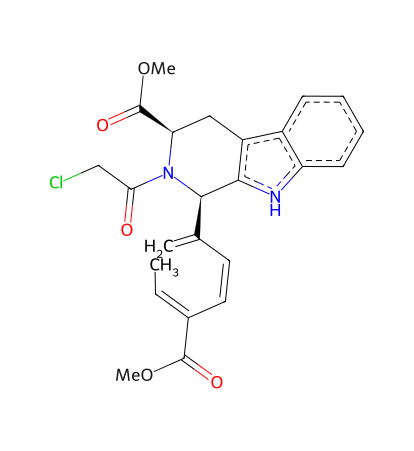 C=C(/C=C\C(=C/C)C(=O)OC)[C@@H]1c2[nH]c3ccccc3c2C[C@H](C(=O)OC)N1C(=O)CCl